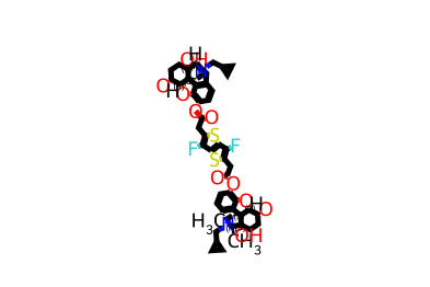 Cc1ccc(OC(=O)Cc2sc3c(F)c(CC(=O)Oc4ccc5c6c4O[C@H]4C(=O)CC[C@@]7(O)[C@@H](C5)N(CC5CC5)CC[C@]647)sc3c2F)c2c1[C@]13CCN(CC4CC4)[C@H](C)[C@]1(O)CCC(=O)[C@@H]3O2